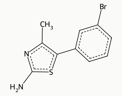 Cc1nc(N)sc1-c1cccc(Br)c1